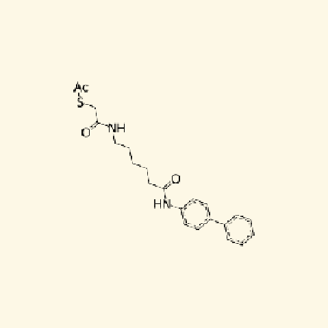 CC(=O)SCC(=O)NCCCCCC(=O)Nc1ccc(-c2ccccc2)cc1